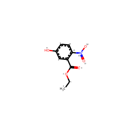 CCOC(=O)c1cc(O)ccc1[N+](=O)[O-]